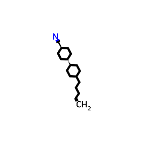 C=CCCCC1CCC([C@H]2CC[C@H](C#N)CC2)CC1